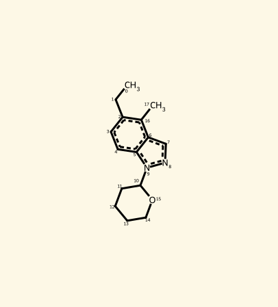 CCc1ccc2c(cnn2C2CCCCO2)c1C